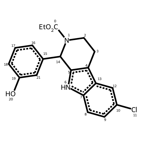 CCOC(=O)N1CCc2c([nH]c3ccc(Cl)cc23)C1c1cccc(O)c1